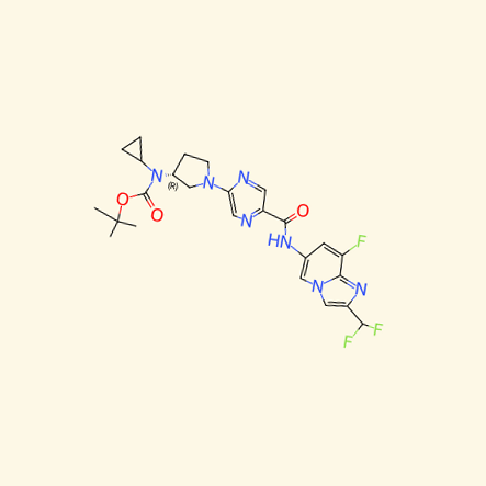 CC(C)(C)OC(=O)N(C1CC1)[C@@H]1CCN(c2cnc(C(=O)Nc3cc(F)c4nc(C(F)F)cn4c3)cn2)C1